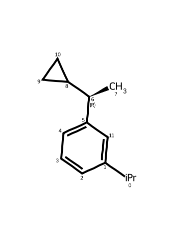 CC(C)c1cccc([C@H](C)C2CC2)c1